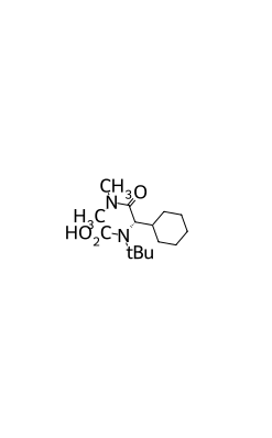 CN(C)C(=O)[C@H](C1CCCCC1)N(C(=O)O)C(C)(C)C